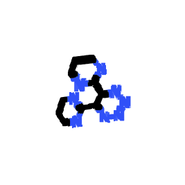 c1cnc(-c2nnnnc2-c2ncccn2)nc1